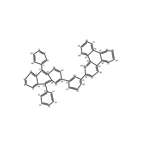 c1ccc(-c2c3ccccc3c(-c3ccccc3)c3cc(-c4cccc(-c5ccc6c7ccccc7c7cccnc7c6n5)c4)ccc23)cc1